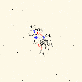 CCOC(=O)/C(C)=C/[C@H](CC)N(C)C(=O)[C@@H](NC(=O)[C@H]1CCCCN1C(C)C)C(C)(C)C